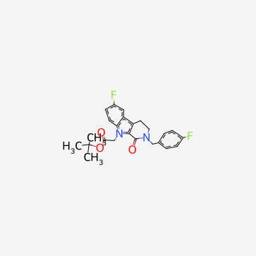 CC(C)(C)OC(=O)Cn1c2c(c3cc(F)ccc31)CCN(Cc1ccc(F)cc1)C2=O